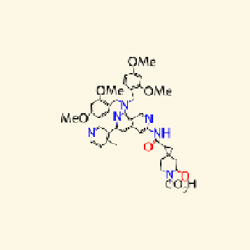 COc1ccc(CN(Cc2ccc(OC)cc2OC)c2nc(-c3cnccc3C)cc3cc(NC(=O)C4CC45CCN(C(=O)O)C(=O)C5)ncc23)c(OC)c1